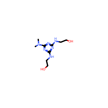 CN(C)c1nc(NCCO)nc(NCCO)n1